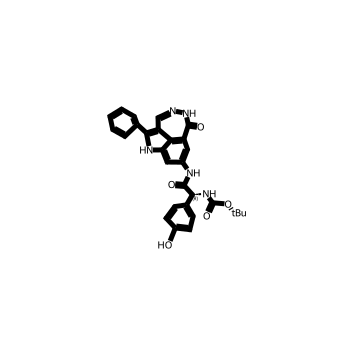 CC(C)(C)OC(=O)N[C@@H](C(=O)Nc1cc2c3c(c(-c4ccccc4)[nH]c3c1)C=NNC2=O)c1ccc(O)cc1